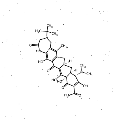 Cc1c2c(c(O)c3c1C[C@H]1C[C@H]4[C@H](N(C)C)C(O)=C(C(N)=O)C(=O)[C@@]4(O)C(O)=C1C3=O)NC(=O)CN(C(C)(C)C)C2